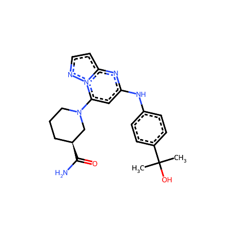 CC(C)(O)c1ccc(Nc2cc(N3CCC[C@H](C(N)=O)C3)n3nccc3n2)cc1